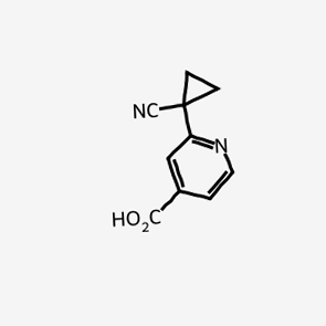 N#CC1(c2cc(C(=O)O)ccn2)CC1